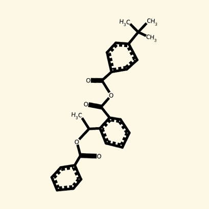 CC(OC(=O)c1ccccc1)c1ccccc1C(=O)OC(=O)c1ccc(C(C)(C)C)cc1